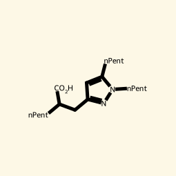 CCCCCc1cc(CC(CCCCC)C(=O)O)nn1CCCCC